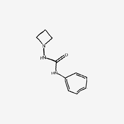 O=C(Nc1cc[c]cc1)NN1CCC1